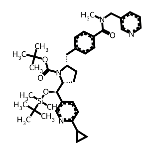 CN(Cc1cccnc1)C(=O)c1ccc(C[C@@H]2CC[C@H]([C@H](O[Si](C)(C)C(C)(C)C)c3ccc(C4CC4)nc3)N2C(=O)OC(C)(C)C)cc1